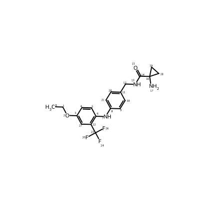 CCOc1ccc(Nc2ccc(CNC(=O)C3(N)CC3)cc2)c(C(F)(F)F)c1